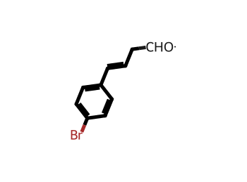 O=[C]CC=Cc1ccc(Br)cc1